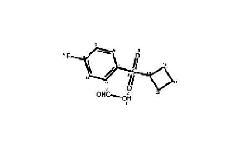 O=CO.O=S(=O)(c1ccc(F)cc1)C1CCC1